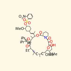 CCC1/C=C(\C)CC(C)CC(OC)C2OC(O)(C(=O)C(=O)N3CCCCC3C(=O)OC(C(C)=CC3CCC(OS(=O)(=O)c4ccccc4[N+](=O)[O-])C(OC)C3)C(C)C(O[Si](C(C)C)(C(C)C)C(C)C)CC1=O)C(C)CC2OC